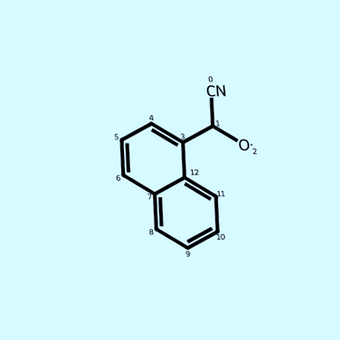 N#CC([O])c1cccc2ccccc12